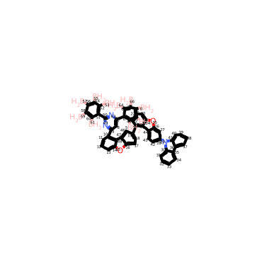 Bc1c(B)c(B)c(-c2cc(-c3cccc4oc5ccc(-c6cccc7oc8cc(-n9c%10ccccc%10c%10ccccc%109)ccc8c67)cc5c34)nc(-c3c(B)c(B)c(B)c(B)c3B)n2)c(B)c1B